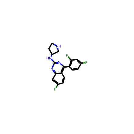 Fc1ccc(-c2nc(N[C@H]3CCNC3)nc3cc(F)ccc23)c(F)c1